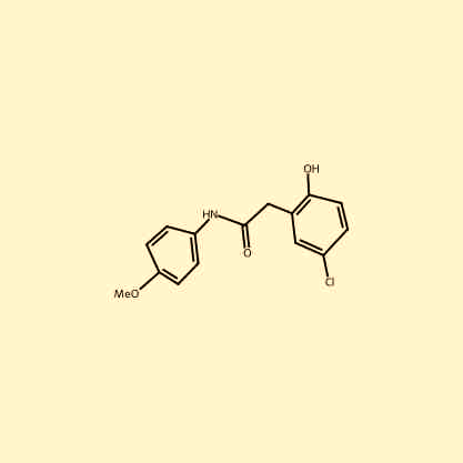 COc1ccc(NC(=O)Cc2cc(Cl)ccc2O)cc1